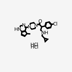 CC1C=CC2=C1C(N1CCN(C(=O)C(CNCC3CC3)c3ccc(Cl)cc3)CC1)=NCN2.Cl.Cl